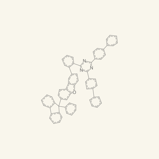 c1ccc(-c2ccc(-c3nc(-c4ccc(-c5ccccc5)cc4)nc(-c4ccccc4-c4ccc5oc6cc(C7(c8ccccc8)c8ccccc8-c8ccccc87)ccc6c5c4)n3)cc2)cc1